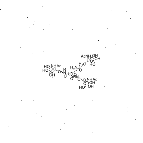 CC(=O)NC1C(OCCOCCNC(=O)CC[C@H](NC(=O)CC[C@H](N)C(=O)NCCOCCOC2OC(CO)C(O)C(O)C2NC(C)=O)C(=O)NCCOCCOC2OC(CO)C(O)C(O)C2NC(C)=O)OC(CO)C(O)C1O